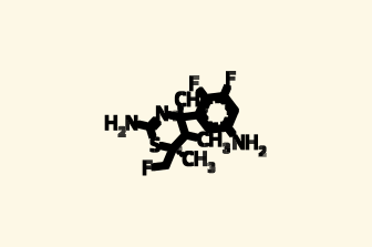 CC1[C@@](C)(CF)SC(N)=N[C@]1(C)c1cc(N)cc(F)c1F